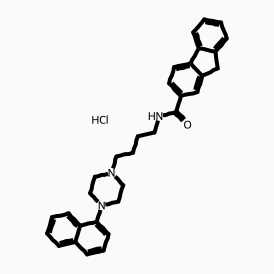 Cl.O=C(NCCCCN1CCN(c2cccc3ccccc23)CC1)c1ccc2c(c1)Cc1ccccc1-2